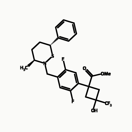 COC(=O)C1(c2cc(F)c(CN3S[C@@H](c4ccccc4)CC[C@@H]3C)cc2F)CC(O)(C(F)(F)F)C1